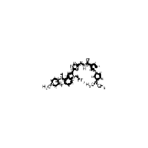 CN1CC[C@@H](Nc2cccc3c2cc(-c2noc(CNC(=O)c4ccn([C@H]5CC[C@@H](N(C)C)C5)c4)n2)n3CC(F)(F)F)[C@@H](F)C1